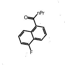 CCCC(=O)c1cccc2c(F)cccc12